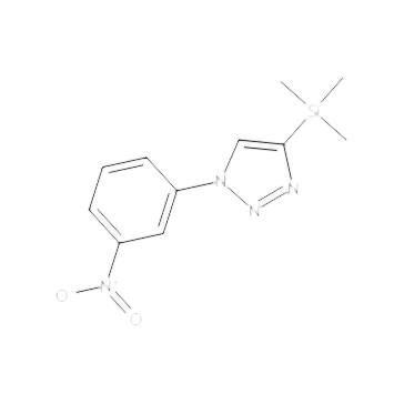 C[Si](C)(C)c1cn(-c2cccc([N+](=O)[O-])c2)nn1